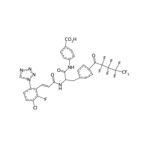 O=C(C=Cc1c(-n2cnnn2)ccc(Cl)c1F)NC(Cc1ccc(C(=O)C(F)(F)C(F)(F)C(F)(F)C(F)(F)F)cc1)C(=O)Nc1ccc(C(=O)O)cc1